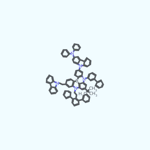 CC(C)(C)c1cc2c3c(c1)N(c1cccc(-c4ccccc4)c1)c1cc(-n4c5ccccc5c5cc(N(c6ccccc6)c6ccccc6)ccc54)ccc1B3c1ccc(CCn3c4ccccc4c4ccccc43)cc1N2CCc1c(-c2ccccc2)cccc1-c1ccccc1